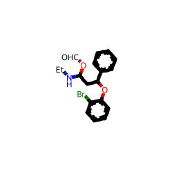 CCNC(CC(Oc1ccccc1Br)c1ccccc1)OC=O